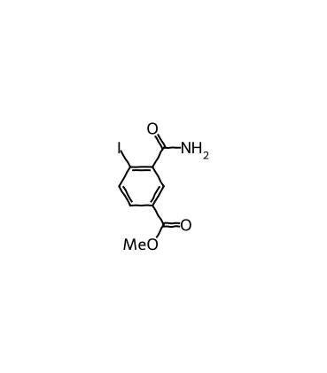 COC(=O)c1ccc(I)c(C(N)=O)c1